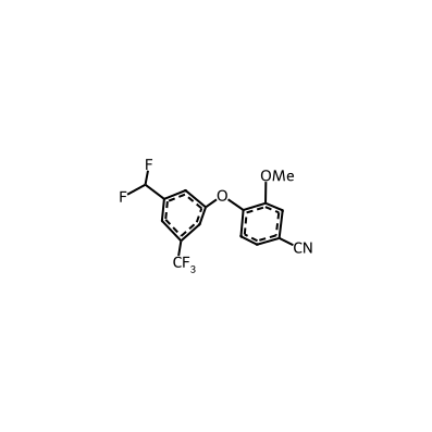 COc1cc(C#N)ccc1Oc1cc(C(F)F)cc(C(F)(F)F)c1